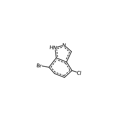 Clc1ccc(Br)c2[nH]ncc12